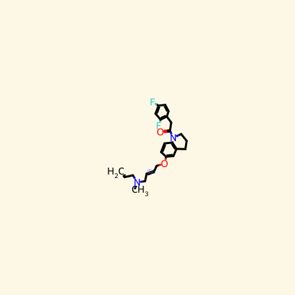 C=CCN(C)C/C=C/COc1ccc2c(c1)CCCN2C(=O)Cc1ccc(F)cc1F